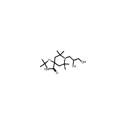 CC1(C)NC(=O)C2(CC(C)(C)N(CC(O)CO)C(C)(C)C2)O1